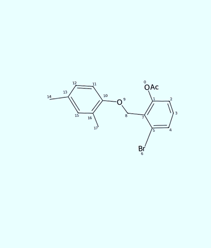 CC(=O)Oc1cccc(Br)c1COc1ccc(C)cc1C